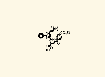 CCOC(=O)N1CCN(C(=O)C(CCC(=O)OC(C)(C)C)NC(=O)c2cc(C=CC(=O)N(C)C)nc(-c3ccccc3)n2)CC1